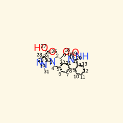 CCCN(Cc1ccc(-c2ccccc2-c2nc(=O)o[nH]2)cc1)c1c(C(=O)O)cnn1C